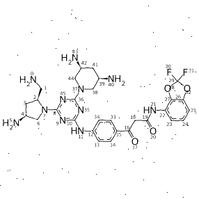 NC[C@@H]1C[C@H](N)CN1c1nc(Nc2ccc(C(=O)CC(=O)Nc3cccc4c3OC(F)(F)O4)cc2)nc(N2C[C@H](N)C[C@H](N)C2)n1